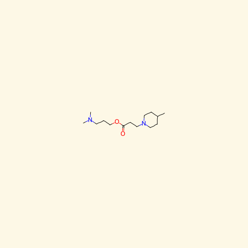 CC1CCN(CCC(=O)OCCCN(C)C)CC1